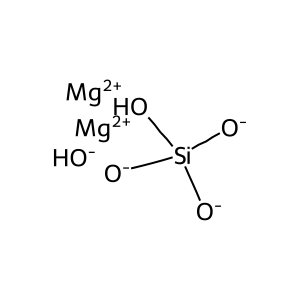 [Mg+2].[Mg+2].[O-][Si]([O-])([O-])O.[OH-]